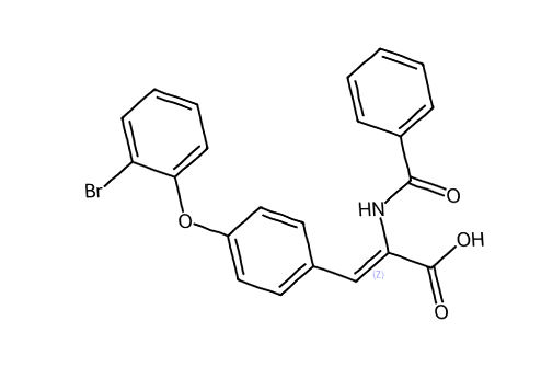 O=C(O)/C(=C/c1ccc(Oc2ccccc2Br)cc1)NC(=O)c1ccccc1